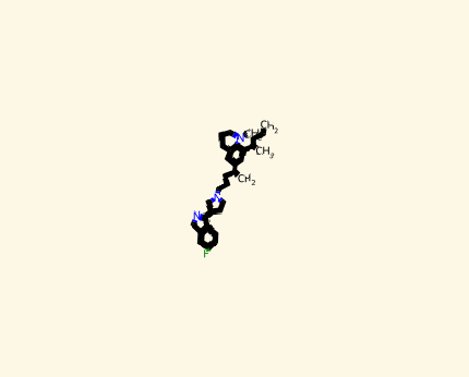 C=CCC(C)c1cc(C(=C)CCCN2CCC(C3=NCc4cc(F)ccc43)C2)cc2c1N(C)CCC2